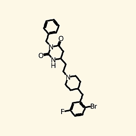 O=C1CC(CCN2CCC(Cc3cc(F)ccc3Br)CC2)NC(=O)N1Cc1ccccc1